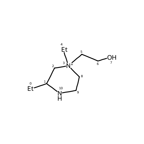 CCC1C[N+](CC)(CCO)CCN1